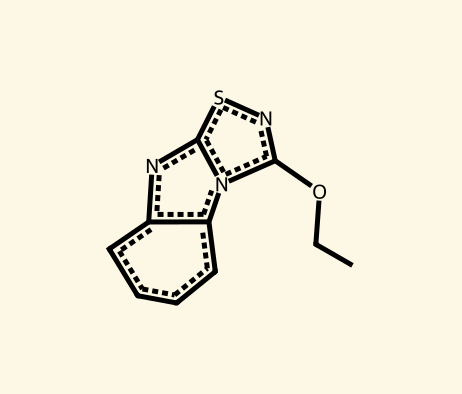 CCOc1nsc2nc3ccccc3n12